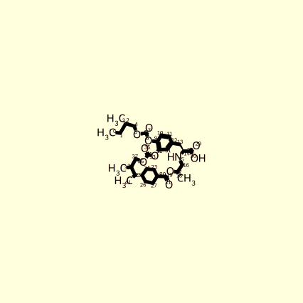 CCC(C)COC(=O)Oc1ccc(C[C@H](NCC(C)OC(=O)C2CCCCC2)C(=O)O)cc1OC(=O)OCC(C)CC